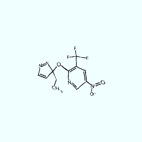 CCC1(Oc2ncc([N+](=O)[O-])cc2C(F)(F)F)C=CN=N1